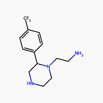 NCCN1CCNCC1c1ccc(C(F)(F)F)cc1